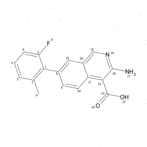 Cc1cccc(F)c1-c1ccc2c(C(=O)O)c(N)ncc2c1